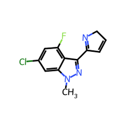 Cn1nc(C2=NCC=C2)c2c(F)cc(Cl)cc21